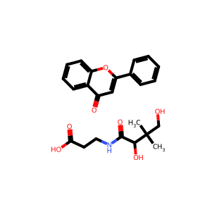 CC(C)(CO)C(O)C(=O)NCCC(=O)O.O=c1cc(-c2ccccc2)oc2ccccc12